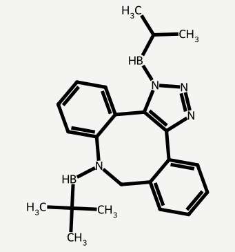 CC(C)Bn1nnc2c1-c1ccccc1N(BC(C)(C)C)Cc1ccccc1-2